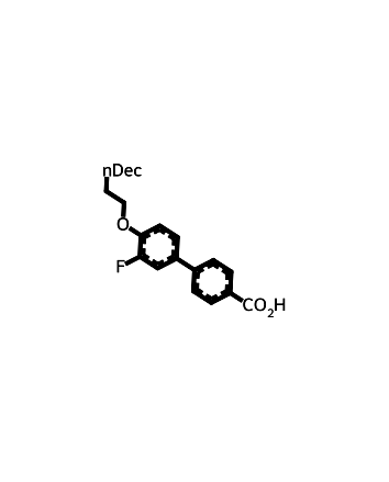 CCCCCCCCCCCCOc1ccc(-c2ccc(C(=O)O)cc2)cc1F